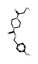 NCC(=O)N1CCN(C(=S)SCc2ccc([N+](=O)[O-])cc2)CC1